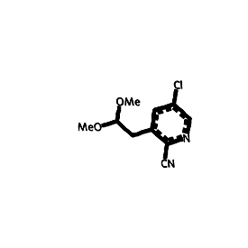 COC(Cc1cc(Cl)cnc1C#N)OC